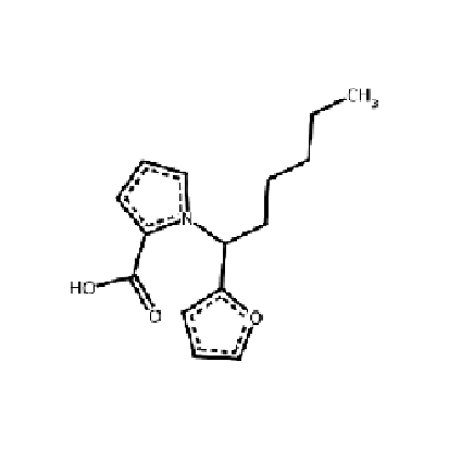 CCCCCC(c1ccco1)n1cccc1C(=O)O